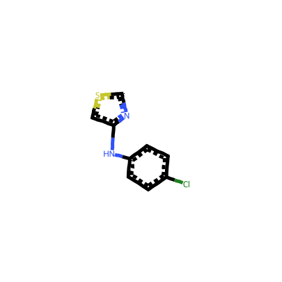 Clc1ccc(Nc2cs[c]n2)cc1